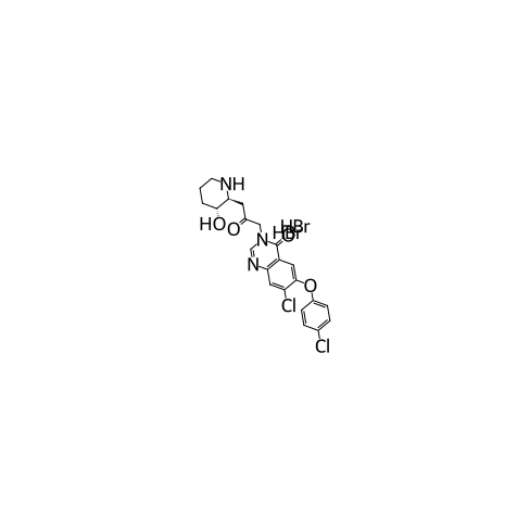 Br.Br.O=C(C[C@@H]1NCCC[C@H]1O)Cn1cnc2cc(Cl)c(Oc3ccc(Cl)cc3)cc2c1=O